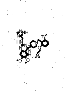 COc1cc2c(cc1OC)C(N)(C1CCN(Cc3c(OCCN(C)C)cccc3N(C)C)CC1)NC(NCc1ncn[nH]1)=N2